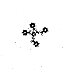 O=C(OCCN1S[C@@H](COC(=O)c2ccccc2)[C@H](OC(=O)c2ccccc2)[C@@H]1OC(=O)c1ccccc1)c1ccccc1